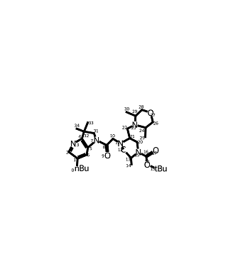 CCCCc1cnc2c(c1)N(C(=O)CN1CC(C)N(C(=O)OC(C)(C)C)CC1CN1C(C)COCC1C)CC2(C)C